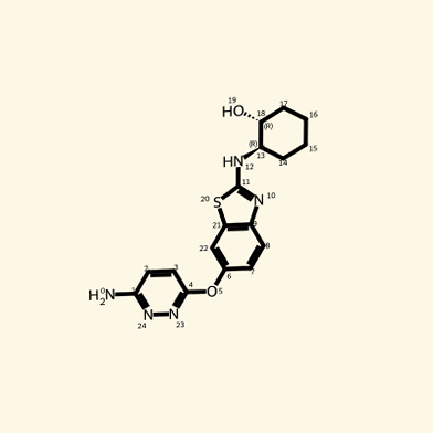 Nc1ccc(Oc2ccc3nc(N[C@@H]4CCCC[C@H]4O)sc3c2)nn1